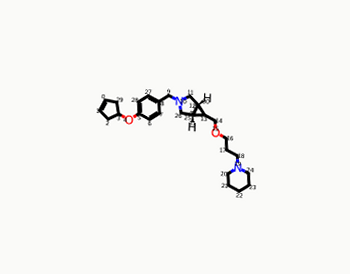 C1=CCC(Oc2ccc(CN3C[C@@H]4C(COCCCN5CCCCC5)[C@@H]4C3)cc2)C1